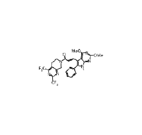 COc1nc(OC)c2c(/C=C/C(=O)N3CCc4c(nc(C(F)(F)F)nc4C(F)(F)F)C3)c(-c3ccccc3)n(C)c2n1